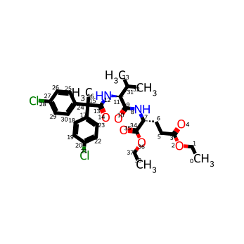 CCOC(=O)CC[C@@H](NC(=O)[C@@H](NC(=O)C(C)(c1ccc(Cl)cc1)c1ccc(Cl)cc1)C(C)C)C(=O)OCC